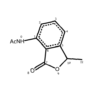 CC(=O)Nc1cccc2c1C(=O)OC2C